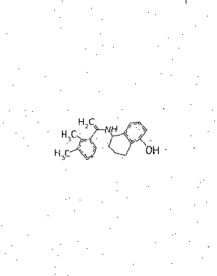 C=C(NC1CCCc2c(O)cccc21)c1cccc(C)c1C